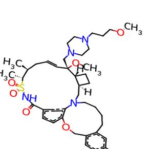 COCCCN1CCN(C[C@]2(OC)/C=C/C[C@H](C)[C@@H](C)S(=O)(=O)NC(=O)c3ccc4c(c3)N(CCCCc3cc(Cl)ccc3CO4)C[C@@H]3CC[C@H]32)CC1